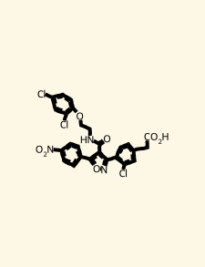 O=C(O)Cc1ccc(-c2noc(-c3ccc([N+](=O)[O-])cc3)c2C(=O)NCCOc2ccc(Cl)cc2Cl)c(Cl)c1